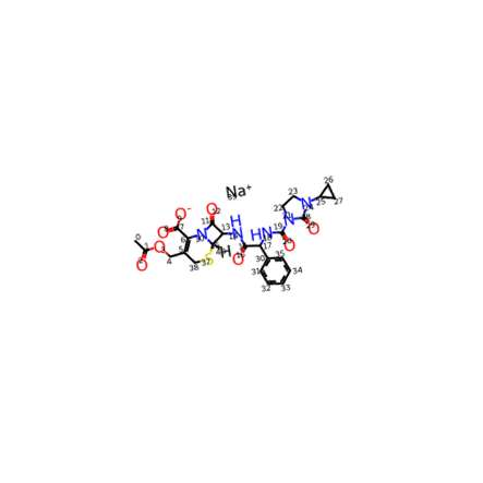 CC(=O)OCC1=C(C(=O)[O-])N2C(=O)C(NC(=O)C(NC(=O)N3CCN(C4CC4)C3=O)c3ccccc3)[C@@H]2SC1.[Na+]